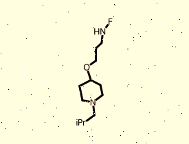 CC(C)CN1CCC(OCCCNF)CC1